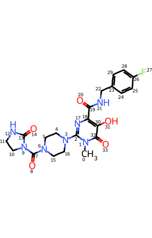 Cn1c(N2CCN(C(=O)N3CCNC3=O)CC2)nc(C(=O)NCc2ccc(F)cc2)c(O)c1=O